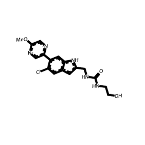 COc1cnc(-c2cc3[nH]c(CNC(=O)NCCO)cc3cc2Cl)cn1